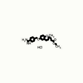 CCOC(=O)CCC1(C)C=Cc2cc(OCc3ccc(C(=N)N)cc3)ccc2O1.Cl